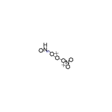 CC1(C)c2cc(/C=C/Nc3ccccc3)ccc2-c2ccc(-c3ccc4c(c3)C(C)(C)c3ccccc3N4c3ccccc3)cc21